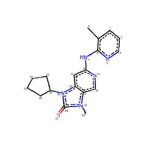 Cc1cccnc1Nc1cc2c(cn1)n(C)c(=O)n2C1CCCC1